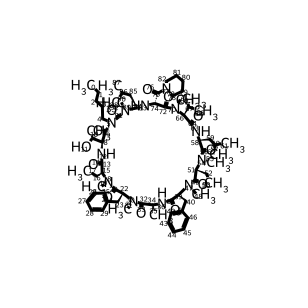 CCCCCN1C(=O)[C@H]([C@@H](C)O)NC(=O)[C@H](CC)N(C)C(=O)[C@H](Cc2ccccc2)N(C)C(=O)[C@H](C)NC(=O)[C@H](Cc2ccccc2)N(C)C(=O)[C@H](CC)N(C)C(=O)[C@H](CC(C)C)NC(=O)[C@H](C(C)C)N(C)C(=O)[C@@H](C(=O)N2CCCCC2)N[C@H](CC(C)C)N(C)C1=O